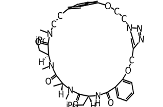 CC(C)C[C@H]1NC(=O)c2ccccc2OCc2cn(nn2)CCOc2ccc(cc2)CCN(C)C(=O)[C@H](CC(C)C)N(C)C(=O)[C@@H](C)N(C)C1=O